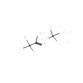 CCCCCCCCC(P)(CCCCCCCC)CCCCCCCC.O=C(O)C(F)(F)F